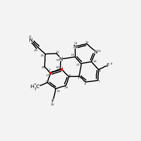 Cc1ccc(-c2ccc(F)c3ncnc(N4CCCC(C#N)C4)c23)cc1F